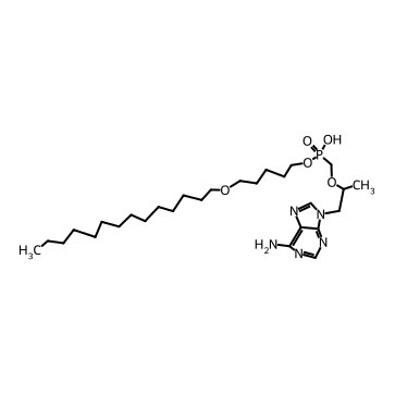 CCCCCCCCCCCCCCOCCCCCOP(=O)(O)COC(C)Cn1cnc2c(N)ncnc21